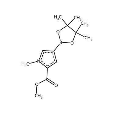 COC(=O)c1cc(B2OC(C)(C)C(C)(C)O2)cn1C